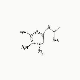 CC(N)Nc1nc(N)c(N)c(N)n1